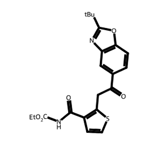 CCOC(=O)NC(=O)c1ccsc1CC(=O)c1ccc2oc(C(C)(C)C)nc2c1